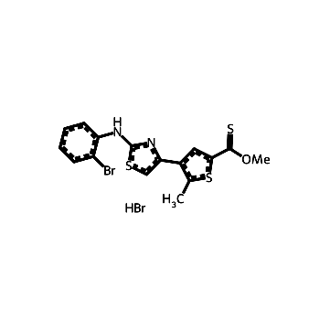 Br.COC(=S)c1cc(-c2csc(Nc3ccccc3Br)n2)c(C)s1